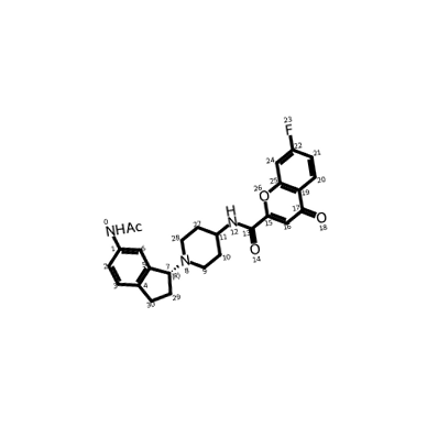 CC(=O)Nc1ccc2c(c1)[C@H](N1CCC(NC(=O)c3cc(=O)c4ccc(F)cc4o3)CC1)CC2